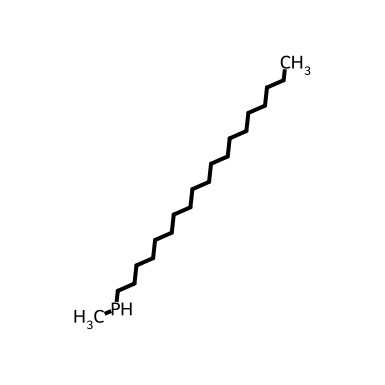 CCCCCCCCCCCCCCCCCCCPC